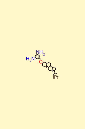 CC(C)CC(C)C1CCC2C3CCC4CC(OCc5cc(N)cc(N)c5)CCC4(C)C3CCC12C